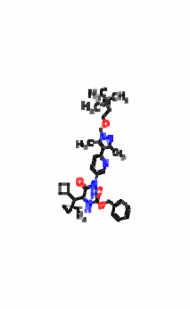 Cc1nn(COCC[Si](C)(C)C)c(C)c1-c1ccc(NC(=O)[C@@H](NC(=O)OCc2ccccc2)C(C2CCC2)C2(C)CC2)cn1